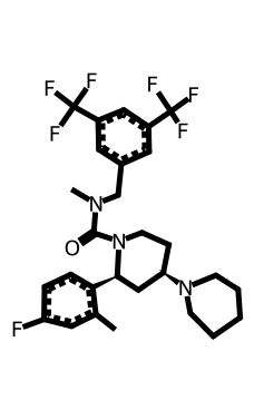 Cc1cc(F)ccc1[C@@H]1C[C@H](N2CCCCC2)CCN1C(=O)N(C)Cc1cc(C(F)(F)F)cc(C(F)(F)F)c1